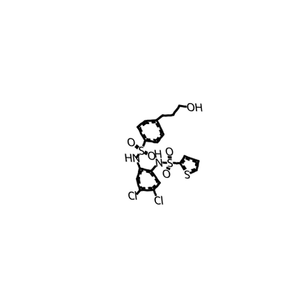 O=S(=O)(Nc1cc(Cl)c(Cl)cc1NS(=O)(=O)c1cccs1)c1ccc(CCCO)cc1